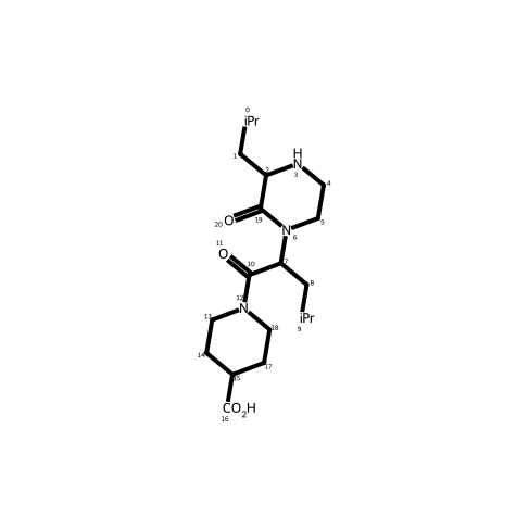 CC(C)CC1NCCN(C(CC(C)C)C(=O)N2CCC(C(=O)O)CC2)C1=O